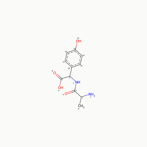 CC(N)C(=O)NC(C(=O)O)c1ccc(O)cc1